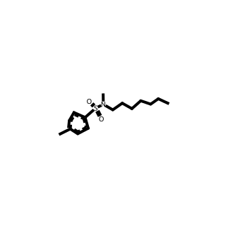 CCCCCCCN(C)S(=O)(=O)c1ccc(C)cc1